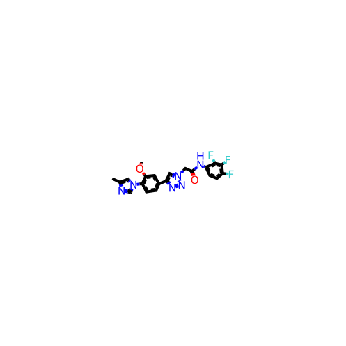 COc1cc(-c2cn(CC(=O)Nc3ccc(F)c(F)c3F)nn2)ccc1-n1cnc(C)c1